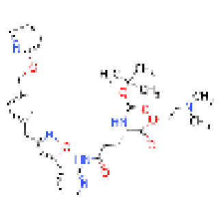 CN(C)CCOC(=O)[C@H](CCC(=O)Nc1ncccc1-c1cc(Cc2ccc(COc3ccccn3)cc2)no1)NC(=O)OC(C)(C)C